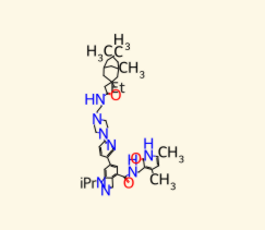 CCC1(CC(=O)NCCN2CCN(c3ccc(-c4cc(C(=O)NCc5c(C)cc(C)[nH]c5=O)c5cnn(C(C)C)c5c4)cn3)CC2)CC2CC(C)(C)CC(C)(C2)C1